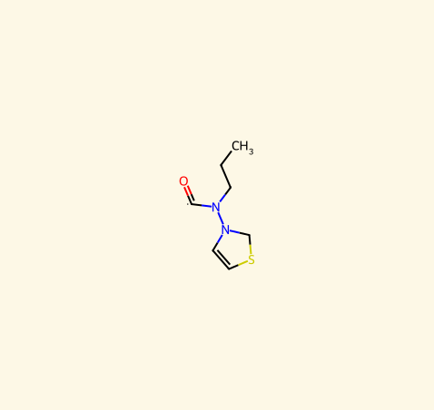 CCCN([C]=O)N1C=CSC1